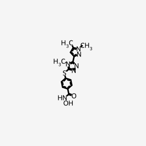 Cc1cc(-c2nnc(Sc3ccc(C(=O)NO)cc3)n2C)nn1C